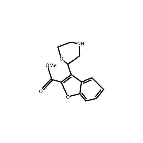 COC(=O)c1oc2ccccc2c1C1CNCCO1